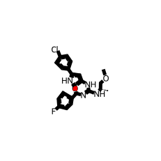 COC[C@H](C)N/C(=N/C(=O)c1ccc(F)cc1)Nc1cc(-c2ccc(Cl)cc2)[nH]n1